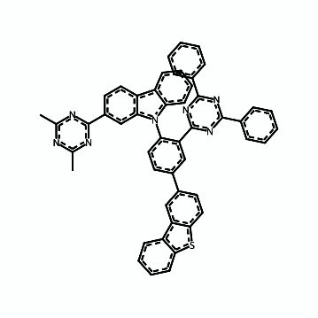 Cc1nc(C)nc(-c2ccc3c4ccccc4n(-c4ccc(-c5ccc6sc7ccccc7c6c5)cc4-c4nc(-c5ccccc5)nc(-c5ccccc5)n4)c3c2)n1